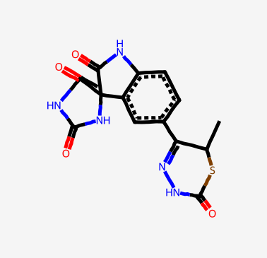 CC1SC(=O)NN=C1c1ccc2c(c1)C1(NC(=O)NC1=O)C(=O)N2